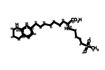 CS(=O)(=O)CCCCNC(CCCCCCCc1ccc2c(n1)NCCC2)C(=O)O